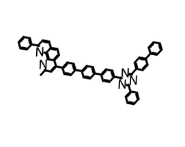 Cc1cc(-c2ccc(-c3ccc(-c4ccc(-c5nc(-c6ccccc6)nc(-c6ccc(-c7ccccc7)cc6)n5)cc4)cc3)cc2)c2ccc3ccc(-c4ccccc4)nc3c2n1